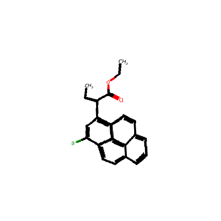 CCOC(=O)C(CC)c1cc(Br)c2ccc3cccc4ccc1c2c34